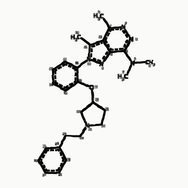 Cc1nnc(N(C)C)c2nn(-c3ccccc3OC3CCN(CCc4ccccc4)C3)c(C)c12